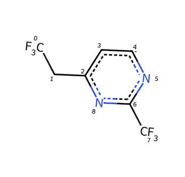 FC(F)(F)Cc1c[c]nc(C(F)(F)F)n1